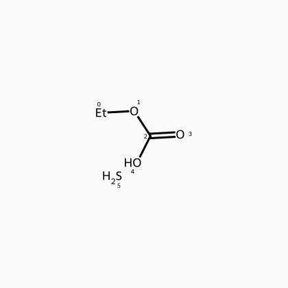 CCOC(=O)O.S